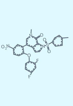 Cc1ccc(S(=O)(=O)n2ccc3c(-c4cc([N+](=O)[O-])ccc4Oc4ccc(F)cc4F)cn(C)c(=O)c32)cc1